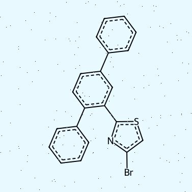 Brc1csc(-c2cc(-c3ccccc3)ccc2-c2ccccc2)n1